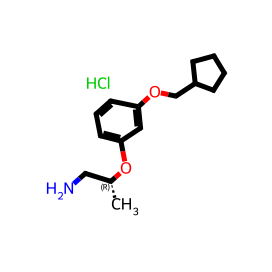 C[C@H](CN)Oc1cccc(OCC2CCCC2)c1.Cl